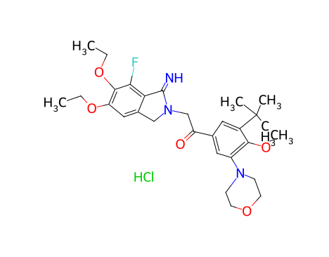 CCOc1cc2c(c(F)c1OCC)C(=N)N(CC(=O)c1cc(N3CCOCC3)c(OC)c(C(C)(C)C)c1)C2.Cl